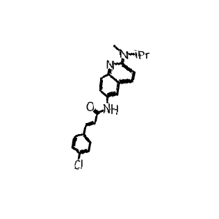 CC(C)N(C)c1ccc2cc(NC(=O)C=Cc3ccc(Cl)cc3)ccc2n1